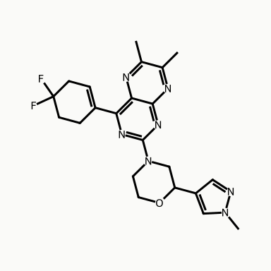 Cc1nc2nc(N3CCOC(c4cnn(C)c4)C3)nc(C3=CCC(F)(F)CC3)c2nc1C